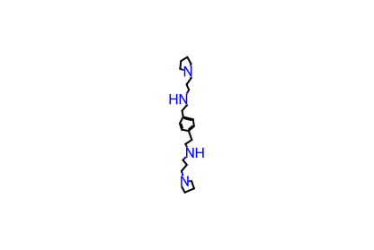 c1cc(CCNCCCN2CCCC2)ccc1CCNCCCN1CCCC1